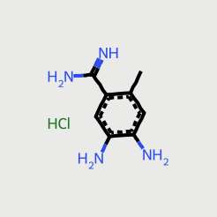 Cc1cc(N)c(N)cc1C(=N)N.Cl